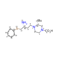 CC(C)(C)[C@@H]1CN(C(=O)O)CCN1CC[C@@H](N)CSc1ccccc1